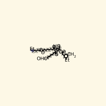 C=C1CC(CC)CC(CC(=O)OCC(CO)(COC(=O)CCCCCCC=O)COC(=O)CCCCCCC(=O)OCCCC/C=C\CC)C1